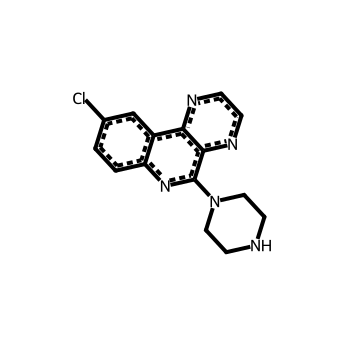 Clc1ccc2nc(N3CCNCC3)c3nccnc3c2c1